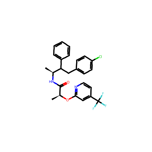 C[C@H](Oc1cc(C(F)(F)F)ccn1)C(=O)N[C@@H](C)C(Cc1ccc(Cl)cc1)c1ccccc1